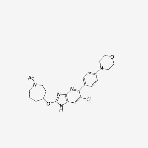 CC(=O)N1CCCC(Oc2nc3nc(-c4ccc(N5CCOCC5)cc4)c(Cl)cc3[nH]2)CC1